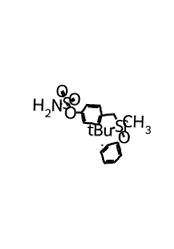 CC(C)(C)[Si](C)(Cc1ccc(OS(N)(=O)=O)cc1)Oc1[c]cccc1